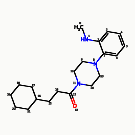 CNc1ccccc1N1CCN(C(=O)CCC2CCCCC2)CC1